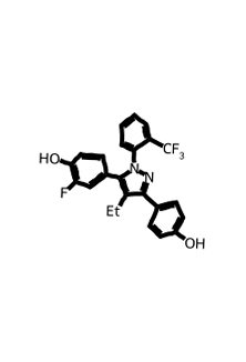 CCc1c(-c2ccc(O)cc2)nn(-c2ccccc2C(F)(F)F)c1-c1ccc(O)c(F)c1